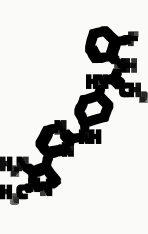 C=C(NC1=C(F)CCC=C1)NC1CCC(Nc2nccc(-c3cnn(C)c3N)n2)CC1